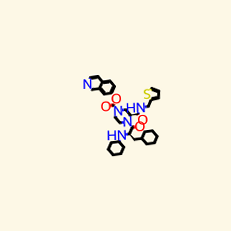 O=C(NCc1cccs1)[C@@H]1CN(C(=O)Oc2ccc3ccncc3c2)CCN1C(=O)[C@@H](CC1CCCCC1)NC1CCCCC1